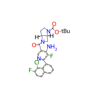 CC(C)(C)OC(=O)N1CC[C@@H]2[C@H]1CN2C(=O)c1cnc(-c2cccc3ccc(F)c(Cl)c23)c(F)c1N